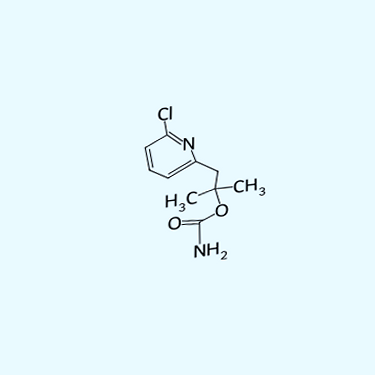 CC(C)(Cc1cccc(Cl)n1)OC(N)=O